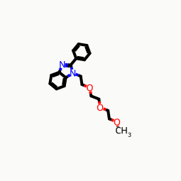 COCCOCCOCCn1c(-c2ccccc2)nc2ccccc21